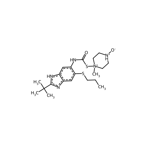 CCCSc1cc2nc(C(C)(C)C)[nH]c2cc1NC(=O)S[N+]1(C)CC[NH+]([O-])CC1